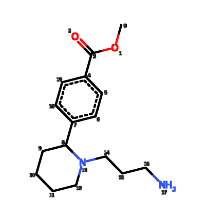 COC(=O)c1ccc(C2CCCCN2CCCN)cc1